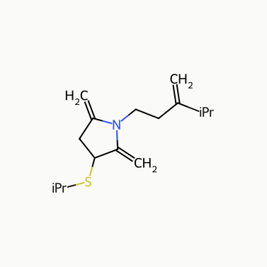 C=C(CCN1C(=C)CC(SC(C)C)C1=C)C(C)C